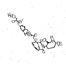 O=C(CO)NCc1ccc(CNC(=O)COc2cccc3c2C(=O)N(C2CCC(O)NC2=O)C3=O)cc1